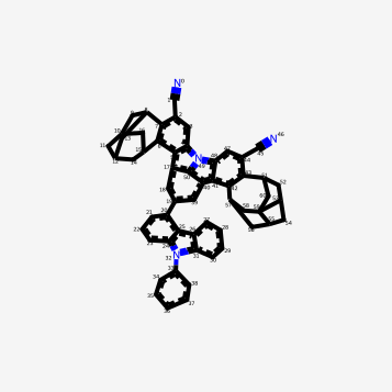 N#Cc1cc2c(c3c1C1CC4CC(C1)CC3C4)c1cc(-c3cccc4c3c3ccccc3n4-c3ccccc3)cc3c4c5c(c(C#N)cc4n2c13)C1CC2CC3CC5CC23C1